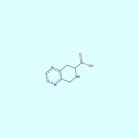 O=C(O)C1Cc2nccnc2CN1